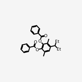 CCC(CC)c1cc(C)c(OC(=O)c2ccccc2)c(OC(=O)c2ccccc2)c1C